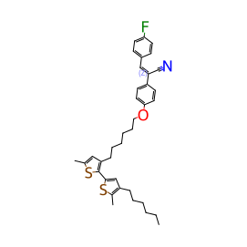 CCCCCCc1cc(-c2sc(C)cc2CCCCCCOc2ccc(/C(C#N)=C/c3ccc(F)cc3)cc2)sc1C